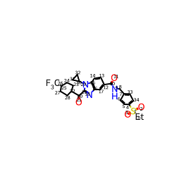 CCS(=O)(=O)c1ccc(CNC(=O)c2ccc3c(c2)nc(C(=O)C2CCC(C(F)(F)F)CC2)n3C2CC2)cc1